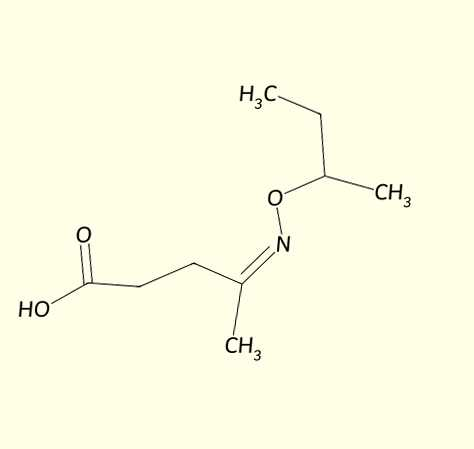 CCC(C)ON=C(C)CCC(=O)O